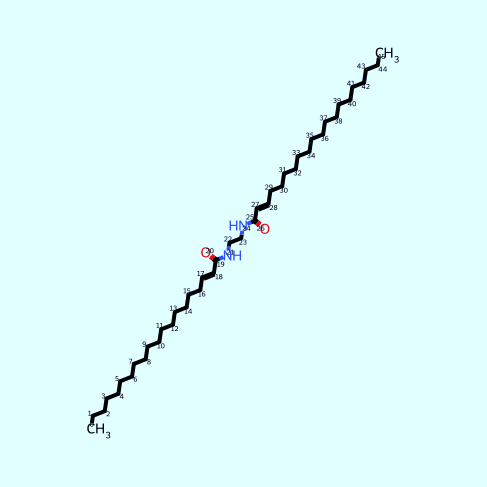 CCCCCCCCCCCCCCCCCC=CC(=O)NCCNC(=O)C=CCCCCCCCCCCCCCCCCC